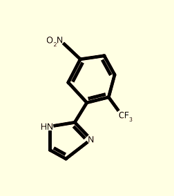 O=[N+]([O-])c1ccc(C(F)(F)F)c(-c2ncc[nH]2)c1